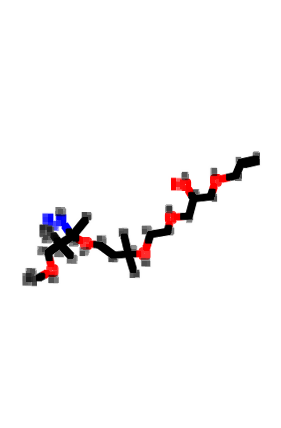 C=CCOCC(O)COCCOC(C)(C)CCOC(C)(N)C(C)(CC)COC(C)C